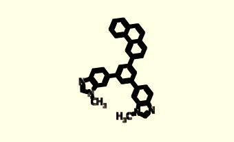 Cn1cnc2ccc(-c3cc(-c4ccc5ccc6ccccc6c5c4)cc(-c4ccc5ncn(C)c5c4)c3)cc21